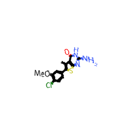 COc1cc(-c2sc3nc(N)[nH]c(=O)c3c2C)ccc1Cl